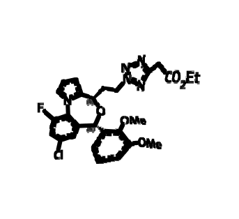 CCOC(=O)Cc1nnn(CC[C@H]2O[C@H](c3cccc(OC)c3OC)c3cc(Cl)cc(F)c3-n3cccc32)n1